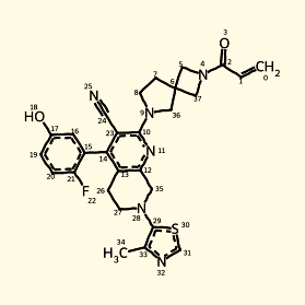 C=CC(=O)N1CC2(CCN(c3nc4c(c(-c5cc(O)ccc5F)c3C#N)CCN(c3scnc3C)C4)C2)C1